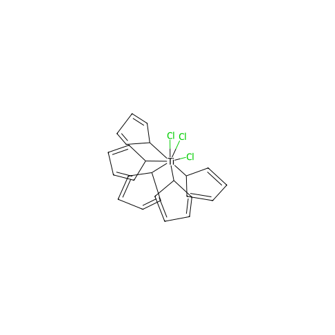 [Cl][Ti]([Cl])([Cl])([CH]1C=CC=C1)([CH]1C=CC=C1)([CH]1C=CC=C1)([CH]1C=CC=C1)[CH]1C=CC=C1